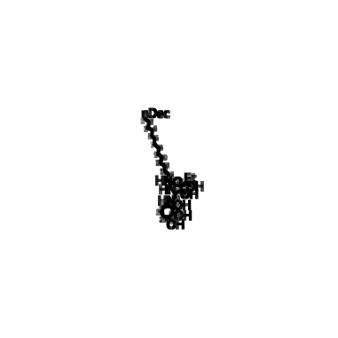 CCCCCCCCCCCCCCCCCCCCCCCCNC(=O)NC(CNC1CCCC(O)C(O)C1O)C(O)CC(O)CC